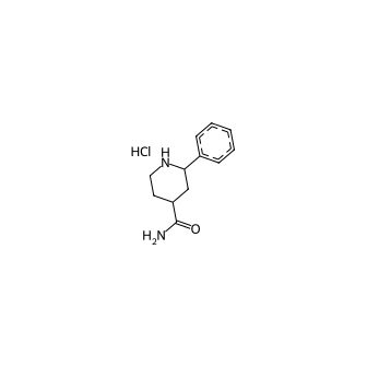 Cl.NC(=O)C1CCNC(c2ccccc2)C1